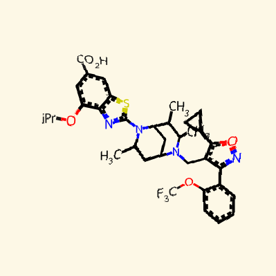 CC(C)Oc1cc(C(=O)O)cc2sc(N3C(C)CC4CC3C(C)C(C)N4Cc3c(-c4ccccc4OC(F)(F)F)noc3C3CC3)nc12